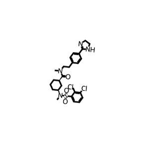 CN(CCc1ccc(C2=NCCN2)cc1)C(=O)[C@@H]1CCC[C@H](N(C)S(=O)(=O)c2cccc(Cl)c2Cl)C1